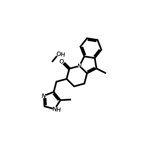 CO.Cc1[nH]cnc1CC1CCc2c(C)c3ccccc3n2C1=O